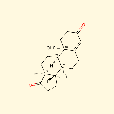 C[C@]12CC[C@@H]3[C@@H](CCC4=CC(=O)CC[C@@]43C=O)[C@@H]1CCC2=O